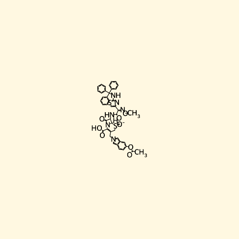 CO/N=C(\C(=O)NC1C(=O)N2C(C(=O)O)=C(Cn3cc4ccc(OC(C)=O)cc4c3)C[S+]([O-])[C@H]12)c1csc(NC(c2ccccc2)(c2ccccc2)c2ccccc2)n1